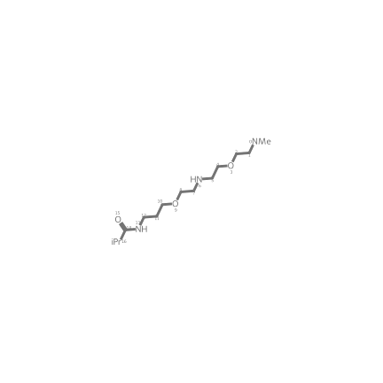 CNCCOCCNCCOCCCNC(=O)C(C)C